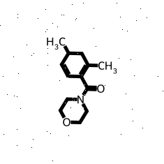 CC1=C(C(=O)N2CCOCC2)C=CC(C)C1